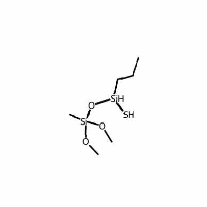 CCC[SiH](S)O[Si](C)(OC)OC